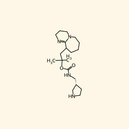 CC(C)(CC1CCCCN2CCCN=C12)OC(=O)NC[C@@H]1CCNC1